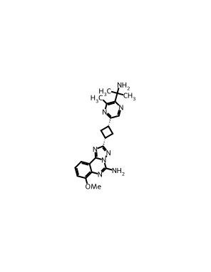 COc1cccc2c1nc(N)n1nc([C@H]3C[C@@H](c4cnc(C(C)(C)N)c(C)n4)C3)nc21